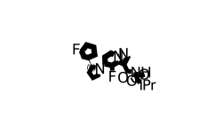 CC(C)S(=O)(=O)NC(=O)c1cnn2ccc(N3CCC[C@@H]3c3cccc(F)c3)c(F)c12